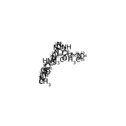 COc1cc2c(cc1OCCCN1CCCC1C)[nH]c1ncnc(N3CCN(C(=S)Nc4ccc(S(=O)(=O)N5CCN(C)CC5)cc4)CC3)c12